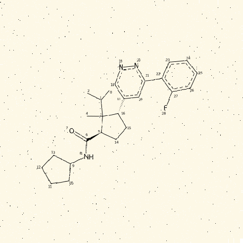 CC(C)C1(C)[C@H](C(=O)NC2CCCC2)CC[C@H]1c1cnnc(-c2ccccc2F)c1